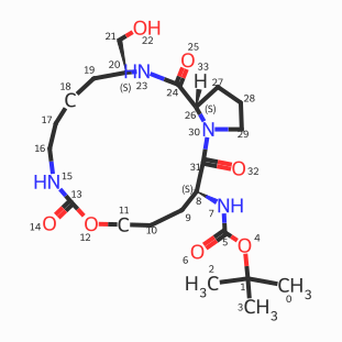 CC(C)(C)OC(=O)N[C@H]1CCCOC(=O)NCCCC[C@@H](CO)NC(=O)[C@@H]2CCCN2C1=O